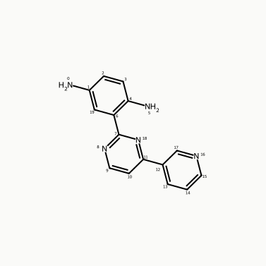 Nc1ccc(N)c(-c2nccc(-c3cccnc3)n2)c1